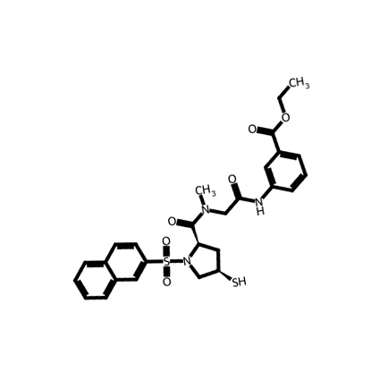 CCOC(=O)c1cccc(NC(=O)CN(C)C(=O)[C@H]2C[C@@H](S)CN2S(=O)(=O)c2ccc3ccccc3c2)c1